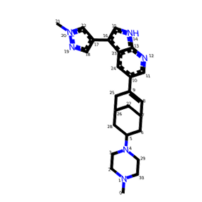 CN1CCN(C2CC3C=C(c4cnc5[nH]cc(-c6cnn(C)c6)c5c4)CC(C3)C2)CC1